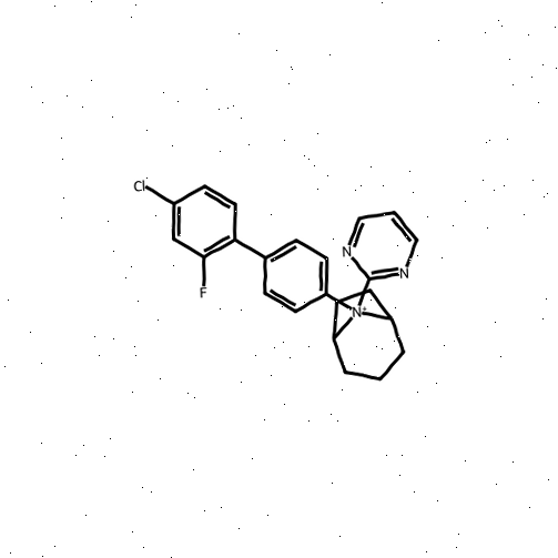 Fc1cc(Cl)ccc1-c1ccc([N+]2(c3ncccn3)C3CCCC2CC3)cc1